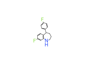 Fc1ccc(C2CCCNc3cc(F)ccc32)cc1